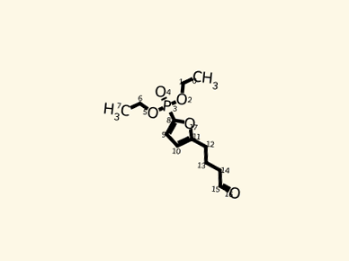 CCOP(=O)(OCC)c1ccc(CCCC=O)o1